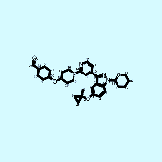 CC1(Oc2ccc3c(c2)c(-c2ccnc(N4CCC(OC5CCC(C=O)CC5)CC4)c2)nn3C2CCCCO2)CC1